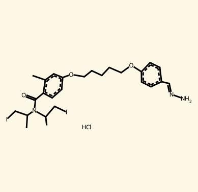 Cc1cc(OCCCCCOc2ccc(C=NN)cc2)ccc1C(=O)N(C(C)CI)C(C)CI.Cl